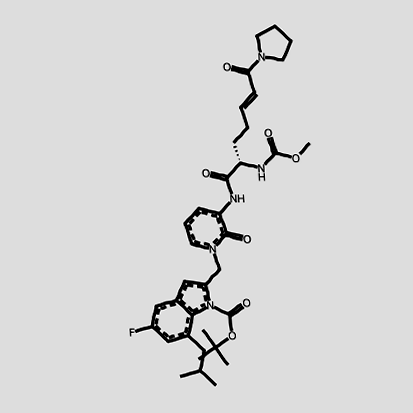 COC(=O)N[C@@H](CC/C=C/C(=O)N1CCCC1)C(=O)Nc1cccn(Cc2cc3cc(F)cc(CC(C)C)c3n2C(=O)OC(C)(C)C)c1=O